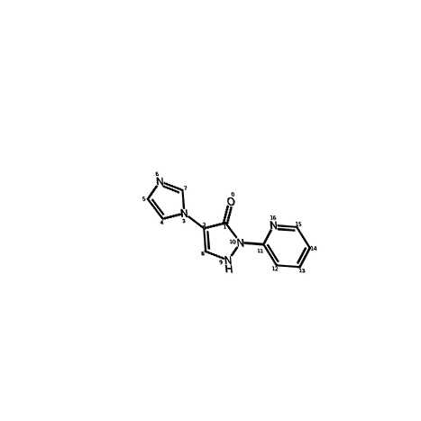 O=c1c(-n2ccnc2)c[nH]n1-c1ccccn1